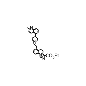 CCOC(=O)c1ncn2c1CCc1c(CCN3CCC(c4cccc5nc(C)ccc45)CC3)cccc1-2